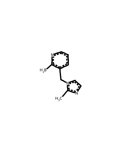 Bc1ncccc1Cn1ccnc1C